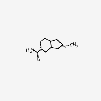 C[C@@H]1CC2CCN(C(N)=O)CC2C1